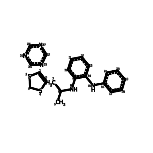 C1=CSCS1.CC(C)Nc1ccccc1Nc1ccccc1.c1ncncn1